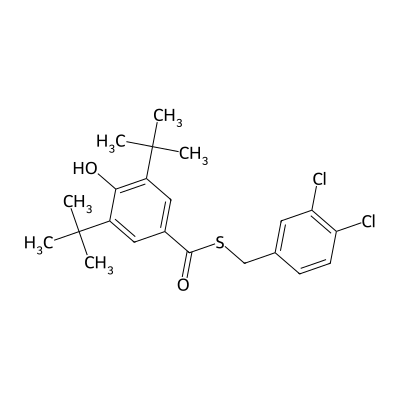 CC(C)(C)c1cc(C(=O)SCc2ccc(Cl)c(Cl)c2)cc(C(C)(C)C)c1O